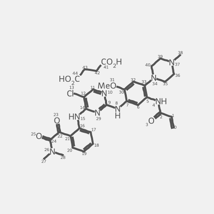 C=CC(=O)Nc1cc(Nc2ncc(Cl)c(Nc3ccccc3C(=O)C(=O)N(C)C)n2)c(OC)cc1N1CCN(C)CC1.O=C(O)CCC(=O)O